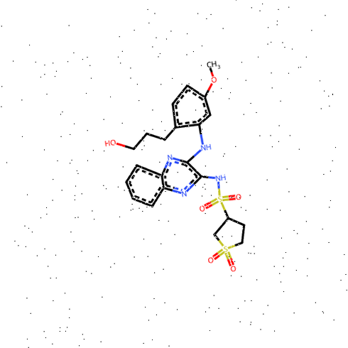 COc1ccc(CCCO)c(Nc2nc3ccccc3nc2NS(=O)(=O)C2CCS(=O)(=O)C2)c1